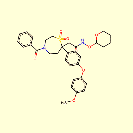 COc1ccc(Oc2ccc(C3(CC(=O)NOC4CCCCO4)CCN(C(=O)c4ccccc4)CCS3(=O)=O)cc2)cc1